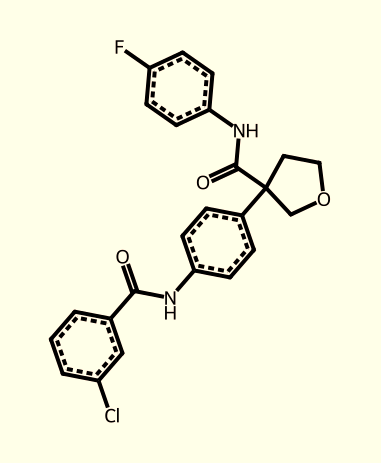 O=C(Nc1ccc(C2(C(=O)Nc3ccc(F)cc3)CCOC2)cc1)c1cccc(Cl)c1